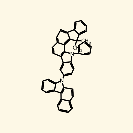 CC1(C)c2ccccc2-c2ccc3ccc4c5cc(-n6c7ccccc7c7c8ccccc8ccc76)ccc5n(-c5ccccc5)c4c3c21